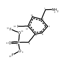 NCc1ccc(CP(=O)(OF)OF)c(I)c1